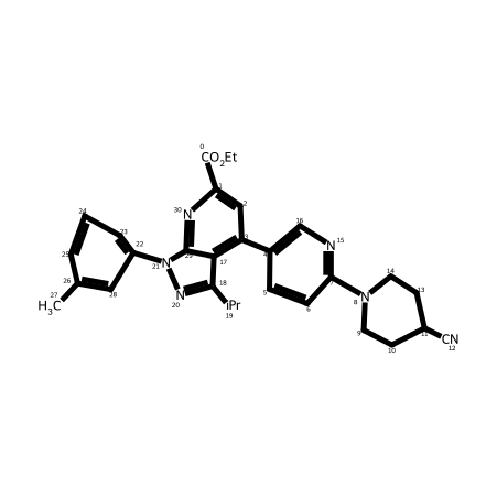 CCOC(=O)c1cc(-c2ccc(N3CCC(C#N)CC3)nc2)c2c(C(C)C)nn(-c3cccc(C)c3)c2n1